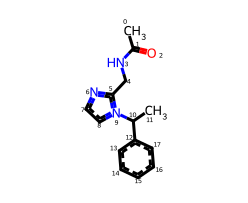 CC(=O)NCc1nccn1C(C)c1ccccc1